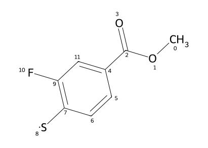 COC(=O)c1ccc([S])c(F)c1